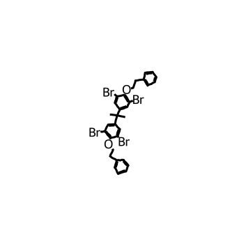 CC(C)(c1cc(Br)c(OCCc2ccccc2)c(Br)c1)c1cc(Br)c(OCCc2ccccc2)c(Br)c1